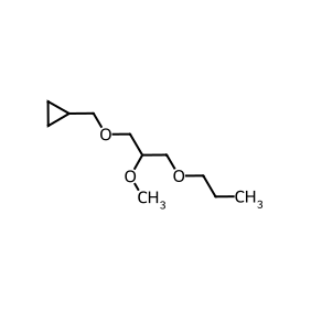 CCCOCC(COCC1CC1)OC